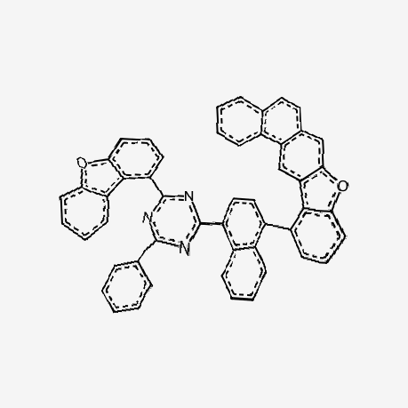 c1ccc(-c2nc(-c3ccc(-c4cccc5oc6cc7ccc8ccccc8c7cc6c45)c4ccccc34)nc(-c3cccc4oc5ccccc5c34)n2)cc1